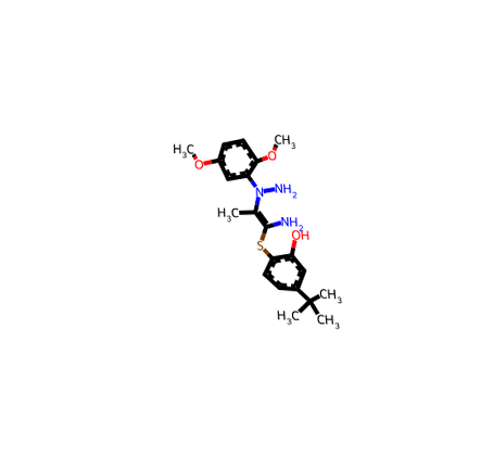 COc1ccc(OC)c(N(N)/C(C)=C(\N)Sc2ccc(C(C)(C)C)cc2O)c1